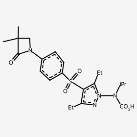 CCc1nn(N(C(=O)O)C(C)C)c(CC)c1S(=O)(=O)c1ccc(N2CC(C)(C)C2=O)cc1